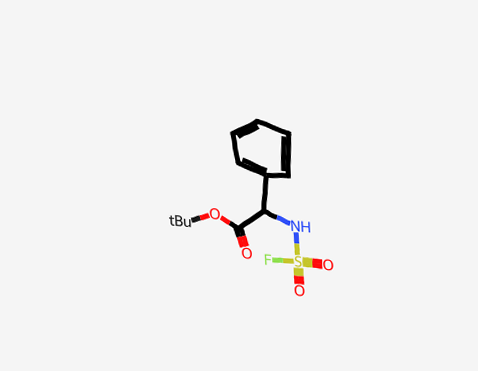 CC(C)(C)OC(=O)C(NS(=O)(=O)F)c1ccccc1